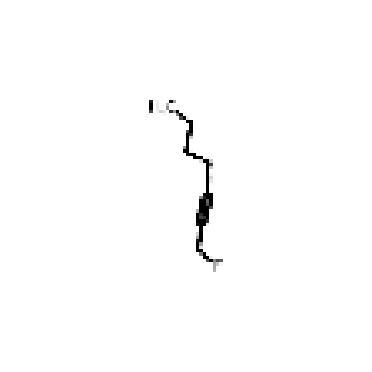 CCCCC#CCF